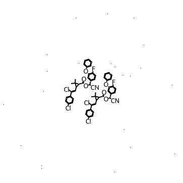 CC1(C)C(/C=C(\Cl)c2ccc(Cl)cc2)C1C(=O)OC(C#N)c1ccc(F)c(Oc2ccccc2)c1.CC1(C)C(/C=C(\Cl)c2ccc(Cl)cc2)C1C(=O)OC(C#N)c1ccc(F)c(Oc2ccccc2)c1